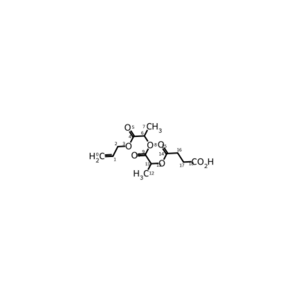 C=CCOC(=O)C(C)OC(=O)C(C)OC(=O)CCC(=O)O